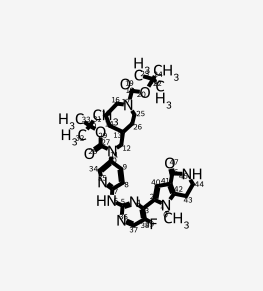 Cn1c(-c2nc(Nc3ccc(N(CC4CCCN(C(=O)OC(C)(C)C)CC4)C(=O)OC(C)(C)C)cn3)ncc2F)cc2c1CCNC2=O